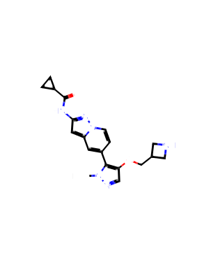 Cn1ncc(OCC2CNC2)c1-c1ccn2nc(NC(=O)C3CC3)cc2c1